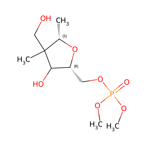 COP(=O)(OC)OC[C@H]1O[C@@H](C)C(C)(CO)C1O